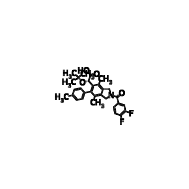 Cc1ccc(-c2c(C)c3c(c(C)c2[C@H](OC(C)(C)C)C(=O)O)CN(C(=O)c2ccc(F)c(F)c2)C3)cc1